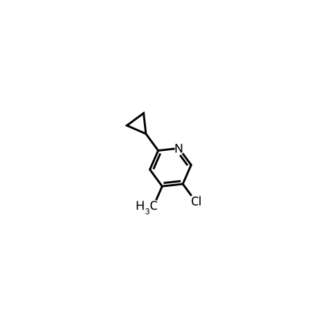 Cc1cc(C2CC2)ncc1Cl